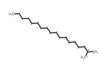 CCCCCCCCCCCCCCCCC(C)C